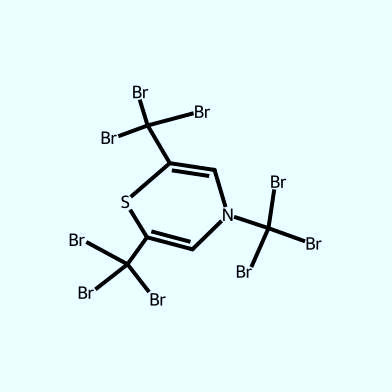 BrC(Br)(Br)C1=CN(C(Br)(Br)Br)C=C(C(Br)(Br)Br)S1